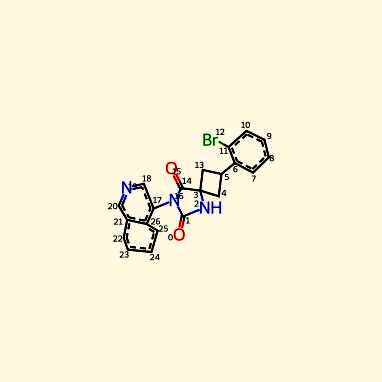 O=C1NC2(CC(c3ccccc3Br)C2)C(=O)N1c1cncc2ccccc12